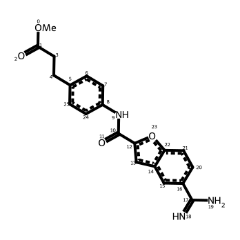 COC(=O)CCc1ccc(NC(=O)c2cc3cc(C(=N)N)ccc3o2)cc1